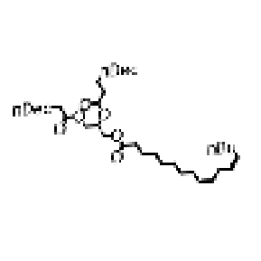 CCCC/C=C\C/C=C\CCCCCCCC(=O)OC[C@@H](COC(=O)CCCCCCCCCCC)OC(=O)CCCCCCCCCCCC